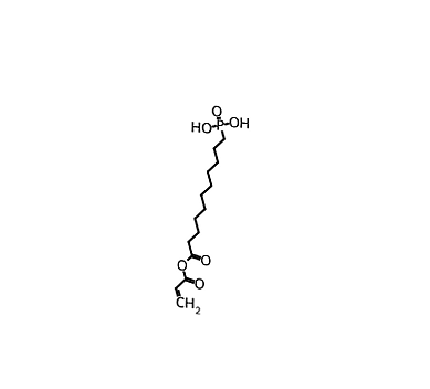 C=CC(=O)OC(=O)CCCCCCCCCCP(=O)(O)O